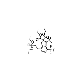 CCOC(=O)C(Cc1cc(C(F)(F)F)ccc1CCP(=O)(OCC)OCC)(NC(C)=O)C(=O)OCC